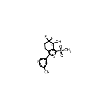 CS(=O)(=O)c1sc(-c2cncc(C#N)c2)c2c1[C@H](O)C(F)(F)CC2